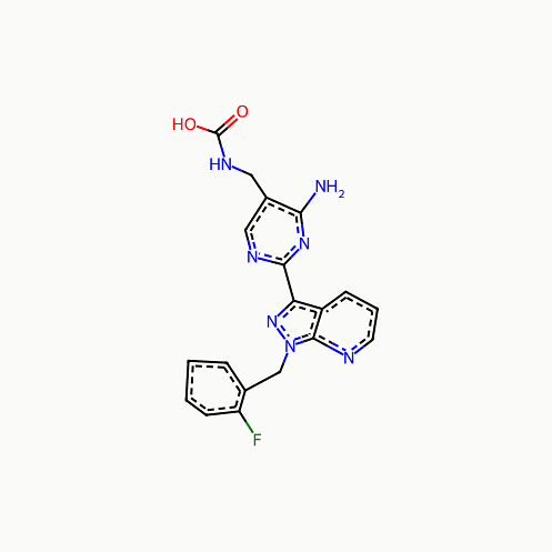 Nc1nc(-c2nn(Cc3ccccc3F)c3ncccc23)ncc1CNC(=O)O